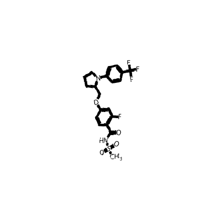 CS(=O)(=O)NC(=O)c1ccc(OCC2CCCN2c2ccc(C(F)(F)F)cc2)cc1F